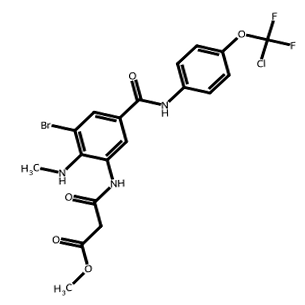 CNc1c(Br)cc(C(=O)Nc2ccc(OC(F)(F)Cl)cc2)cc1NC(=O)CC(=O)OC